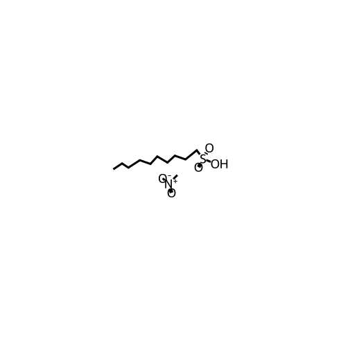 CCCCCCCCCCS(=O)(=O)O.C[N+](=O)[O-]